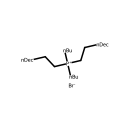 CCCCCCCCCCCC[P+](CCCC)(CCCC)CCCCCCCCCCCC.[Br-]